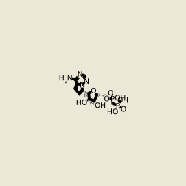 Nc1ncnn2c([C@@H]3O[C@H](COP(=O)(O)CP(=O)(O)O)[C@@H](O)[C@H]3O)ccc12